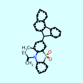 C=C(CC)N1c2ccccc2S(=O)(=O)c2cc(C3c4ccccc4-c4c3ccc3ccccc43)cc(C)c21